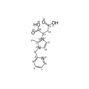 Cc1n(Cc2ccccn2)cc[n+]1C(CC(=O)O)C(=O)O